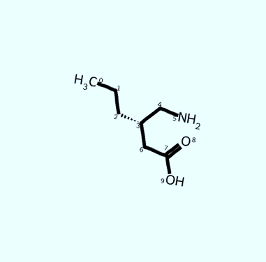 CCC[C@H](CN)CC(=O)O